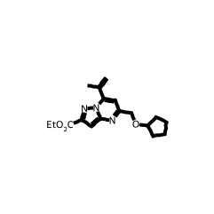 C=C(C)c1cc(COC2CCCC2)nc2cc(C(=O)OCC)nn12